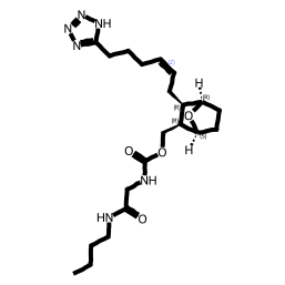 CCCCNC(=O)CNC(=O)OC[C@H]1[C@@H](C/C=C\CCCc2nnn[nH]2)[C@H]2CC[C@@H]1O2